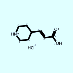 Cl.O=C(O)C=CC1CCNCC1